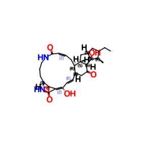 CCC1C[C@H]2C[C@H]3[C@@H]4C/C=C\C(=O)NCCC[C@@H]5NC(=O)/C(=C(O)/C=C/[C@H]4CC(=O)[C@@H]3[C@@]2(O)[C@@H]1C)C5=O